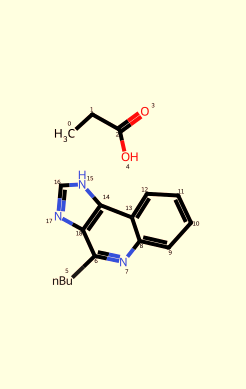 CCC(=O)O.CCCCc1nc2ccccc2c2[nH]cnc12